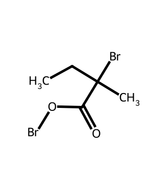 CCC(C)(Br)C(=O)OBr